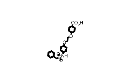 O=C(O)c1ccc(OCCOc2ccc(NS(=O)(=O)Cc3ccccc3)cc2)cc1